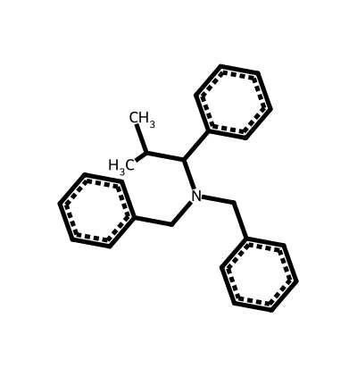 CC(C)C(c1ccccc1)N(Cc1ccccc1)Cc1ccccc1